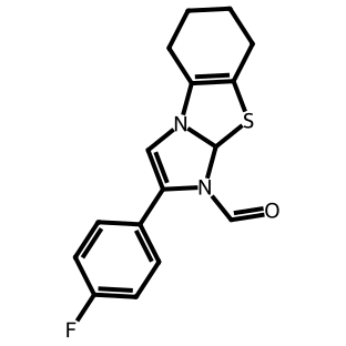 O=CN1C(c2ccc(F)cc2)=CN2C3=C(CCCC3)SC12